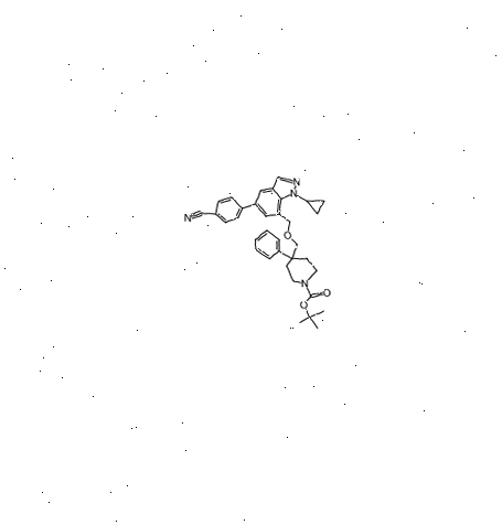 CC(C)(C)OC(=O)N1CCC(COCc2cc(-c3ccc(C#N)cc3)cc3cnn(C4CC4)c23)(c2ccccc2)CC1